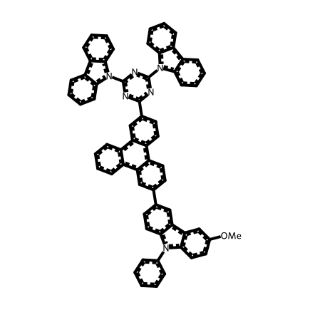 COc1ccc2c(c1)c1cc(-c3ccc4c5ccc(-c6nc(-n7c8ccccc8c8ccccc87)nc(-n7c8ccccc8c8ccccc87)n6)cc5c5ccccc5c4c3)ccc1n2-c1ccccc1